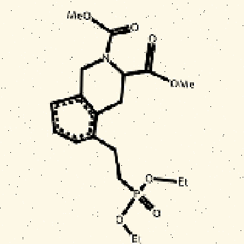 CCOP(=O)(CCc1cccc2c1CC(C(=O)OC)N(C(=O)OC)C2)OCC